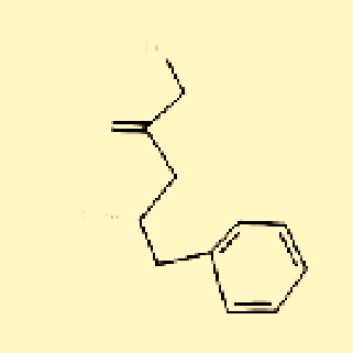 CC(C)(C)CC(=O)C[C@H](Cc1ccccc1)C(=O)O